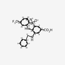 NS(=O)(=O)c1cc(C(=O)O)cc(NCc2ccccc2)c1Nc1cccc(C(F)(F)F)c1